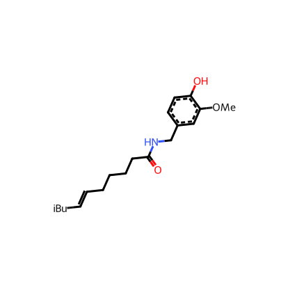 CCC(C)/C=C/CCCCC(=O)NCc1ccc(O)c(OC)c1